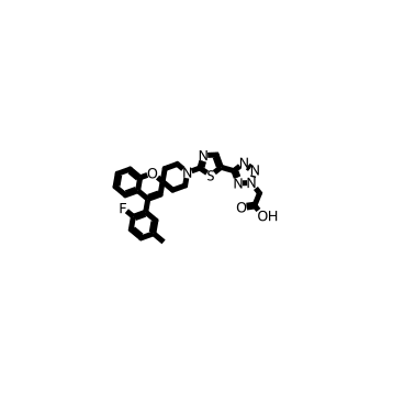 Cc1ccc(F)c(C2=CC3(CCN(c4ncc(-c5nnn(CC(=O)O)n5)s4)CC3)Oc3ccccc32)c1